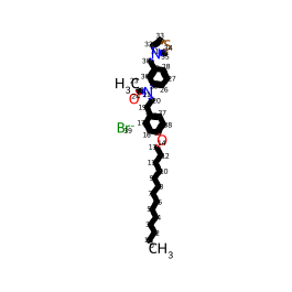 CCCCCCCCCCCCCCOc1ccc(CCN(C(C)=O)c2cccc(C[n+]3ccsc3)c2)cc1.[Br-]